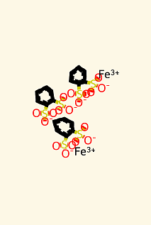 O=S(=O)([O-])c1ccccc1S(=O)(=O)[O-].O=S(=O)([O-])c1ccccc1S(=O)(=O)[O-].O=S(=O)([O-])c1ccccc1S(=O)(=O)[O-].[Fe+3].[Fe+3]